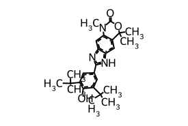 CN1C(=O)OC(C)(C)c2cc3[nH]c(-c4cc(C(C)(C)C)c(O)c(C(C)(C)C)c4)nc3cc21